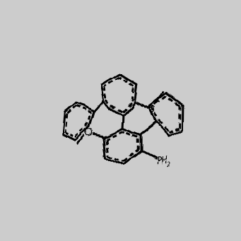 COc1cccc(-c2ccccc2)c1-c1c(OC)ccc(P)c1-c1ccccc1